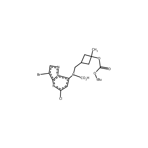 CC(C)(C)OC(=O)OC1(C)CC(CN(C(=O)O)c2cc(Cl)nc3c(Br)cnn23)C1